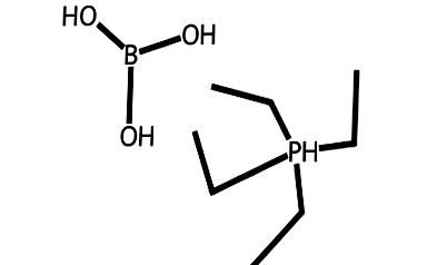 CC[PH](CC)(CC)CC.OB(O)O